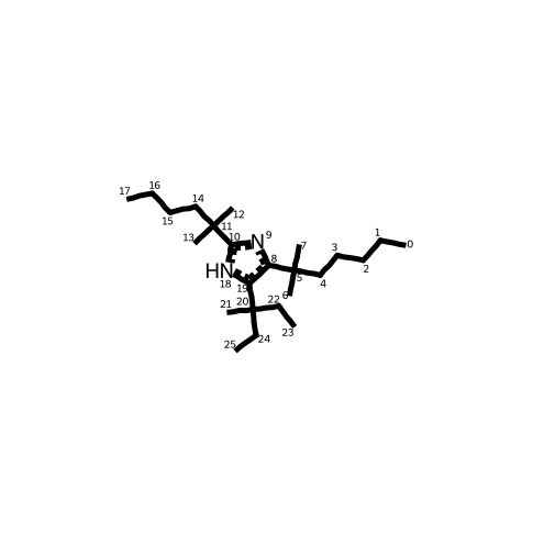 CCCCCC(C)(C)c1nc(C(C)(C)CCCC)[nH]c1C(C)(CC)CC